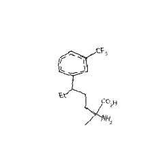 CCC(CCC(C)(N)C(=O)O)c1cccc(C(F)(F)F)c1